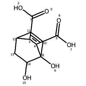 O=C(O)C1=C(C(=O)O)C2(O)C=CC1CC2O